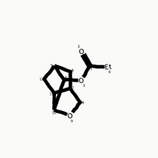 CCC(=O)OC1C2CC3COC1C3C2